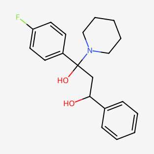 OC(CC(O)(c1ccc(F)cc1)N1CCCCC1)c1ccccc1